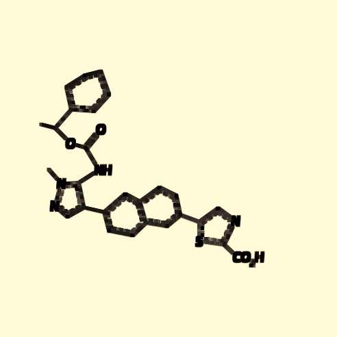 CC(OC(=O)Nc1c(-c2ccc3cc(-c4cnc(C(=O)O)s4)ccc3c2)cnn1C)c1ccccc1